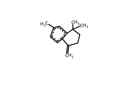 C=C1CCC(C)(C)c2cc(C)ccc21